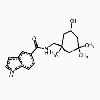 CC1(C)CC(O)CC(C)(CNC(=O)c2ccc3[nH]ccc3c2)C1